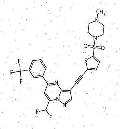 CN1CCN(S(=O)(=O)c2ccc(C#Cc3cnn4c(C(F)F)cc(-c5cccc(C(F)(F)F)c5)nc34)s2)CC1